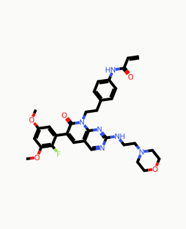 C=CC(=O)Nc1ccc(CCn2c(=O)c(-c3cc(OC)cc(OC)c3F)cc3cnc(NCCN4CCOCC4)nc32)cc1